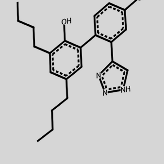 CCCCc1cc(CCCC)c(O)c(-c2ccc(Cl)cc2-c2c[nH]nn2)c1